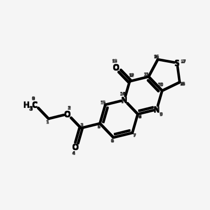 CCOC(=O)c1ccc2nc3c(c(=O)n2c1)CSC3